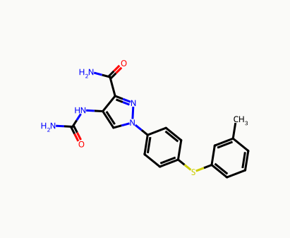 Cc1cccc(Sc2ccc(-n3cc(NC(N)=O)c(C(N)=O)n3)cc2)c1